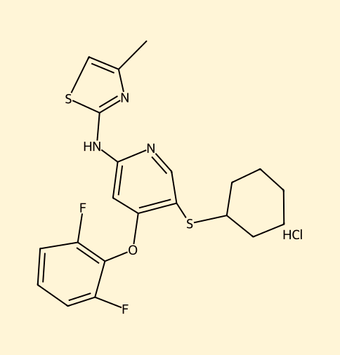 Cc1csc(Nc2cc(Oc3c(F)cccc3F)c(SC3CCCCC3)cn2)n1.Cl